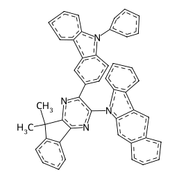 CC1(C)c2ccccc2-c2nc(-n3c4ccccc4c4cc5ccccc5cc43)c(-c3ccc4c(c3)c3ccccc3n4-c3ccccc3)nc21